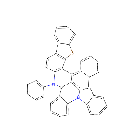 c1ccc(N2B3c4ccccc4-n4c5ccccc5c5c6ccccc6c(c3c54)-c3c2ccc2c3sc3ccccc32)cc1